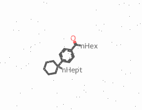 CCCCCCCC1(c2ccc(C(=O)CCCCCC)cc2)CCCCC1